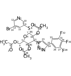 CC(=O)OCC1O[C@H](Sc2cncc(Br)c2)C(OC(C)=O)C(n2cc(-c3cc(F)c(F)c(F)c3)nn2)[C@H]1OC(C)=O